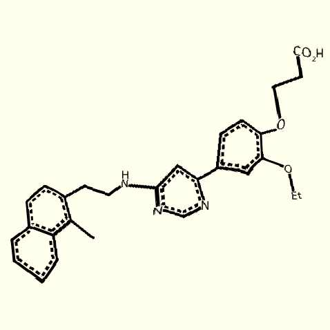 CCOc1cc(-c2cc(NCCc3ccc4ccccc4c3C)ncn2)ccc1OCCC(=O)O